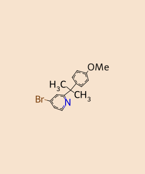 COc1ccc(C(C)(C)c2cc(Br)ccn2)cc1